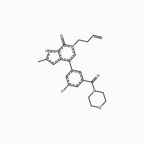 C=CCCn1cc(-c2cc(F)cc(C(=O)N3CCOCC3)c2)c2cc(C)[nH]c2c1=O